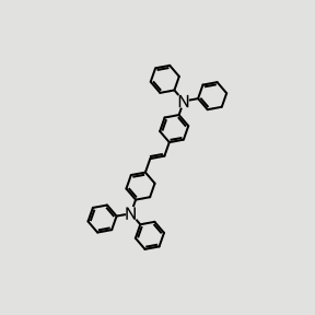 C1=CCC(N(C2=CCCC=C2)c2ccc(/C=C/C3=CC=C(N(c4ccccc4)c4ccccc4)CC3)cc2)C=C1